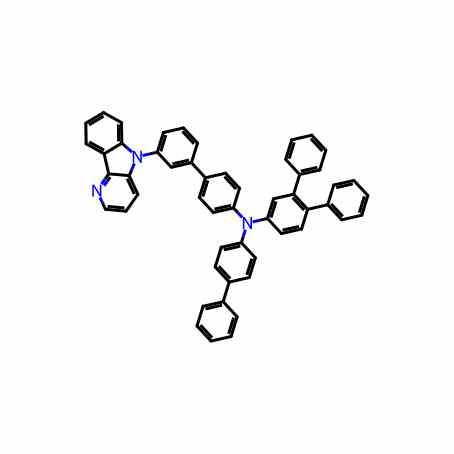 c1ccc(-c2ccc(N(c3ccc(-c4cccc(-n5c6ccccc6c6ncccc65)c4)cc3)c3ccc(-c4ccccc4)c(-c4ccccc4)c3)cc2)cc1